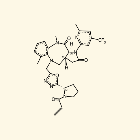 C=CC(=O)N1CCC[C@H]1c1nnc(CN2C[C@H]3CC(=O)N(c4cc(C(F)(F)F)cc(C)n4)[C@@H]3C(=O)N(C)c3cccc(C)c32)o1